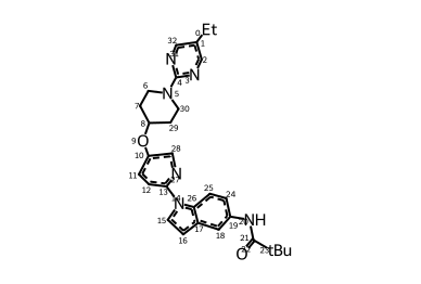 CCc1cnc(N2CCC(Oc3ccc(-n4ccc5cc(NC(=O)C(C)(C)C)ccc54)nc3)CC2)nc1